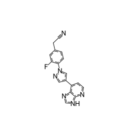 N#CCc1ccc(-n2cc(-c3ccnc4[nH]cnc34)cn2)c(F)c1